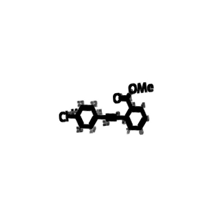 COC(=O)c1ccccc1C#Cc1ccc(Cl)cc1